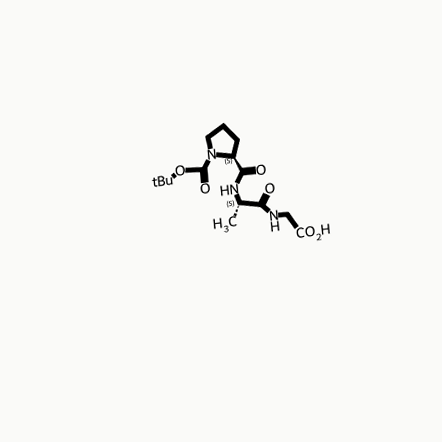 C[C@H](NC(=O)[C@@H]1CCCN1C(=O)OC(C)(C)C)C(=O)NCC(=O)O